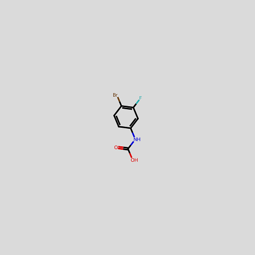 O=C(O)Nc1ccc(Br)c(F)c1